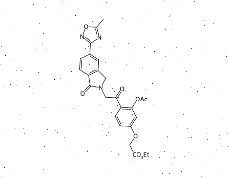 CCOC(=O)COc1ccc(C(=O)CN2Cc3cc(-c4noc(C)n4)ccc3C2=O)c(OC(C)=O)c1